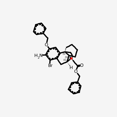 Nc1c(OCc2ccccc2)cc2c(c1Br)C[C@H]1[C@H]3CCCC[C@@]23CCN1C(=O)OCc1ccccc1